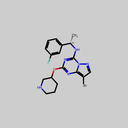 CC(C)c1cnn2c(N[C@@H](C)c3cccc(F)c3)nc(OC3CCCNC3)nc12